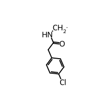 [CH2]NC(=O)Cc1ccc(Cl)cc1